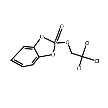 O=P1(OCC(Cl)(Cl)Cl)Oc2ccccc2O1